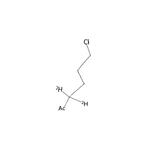 [2H]C([2H])(CCCCl)C(C)=O